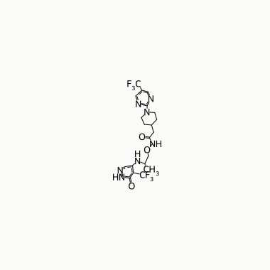 CC(CONC(=O)CC1CCN(c2ncc(C(F)(F)F)cn2)CC1)Nc1cn[nH]c(=O)c1C(F)(F)F